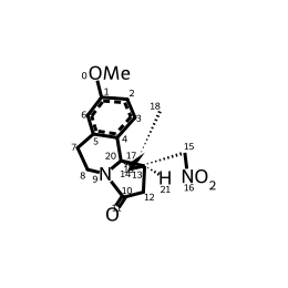 COc1ccc2c(c1)CCN1C(=O)C[C@H]3[C@H](C[N+](=O)[O-])[C@@H](C)C[C@]231